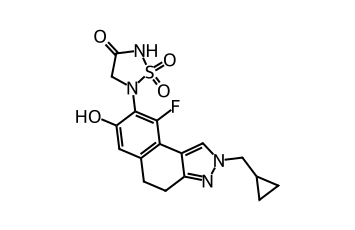 O=C1CN(c2c(O)cc3c(c2F)-c2cn(CC4CC4)nc2CC3)S(=O)(=O)N1